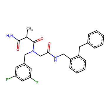 CC(C(N)=O)C(=O)N(CC(=O)NCc1ccccc1Cc1ccccc1)Cc1cc(F)cc(F)c1